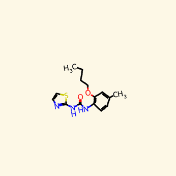 CCCCOc1cc(C)ccc1NC(=O)Nc1nccs1